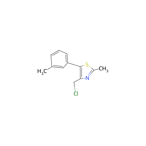 Cc1cccc(-c2sc(C)nc2CCl)c1